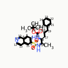 C[C@@H](NS(=O)(=O)c1ccc2cnccc2c1)[C@H](CCCc1ccccc1)NC(=O)OC(C)(C)C